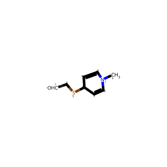 CN1C=CC(SC[C]=O)C=C1